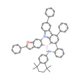 CC1(C)CCC(C)(C)c2cc(Nc3ccccc3-c3cc(-c4ccccc4)c4c5cc(-c6ccccc6)ccc5n5c4c3Bc3cc4cc(-c6ccccc6)oc4cc3-5)ccc21